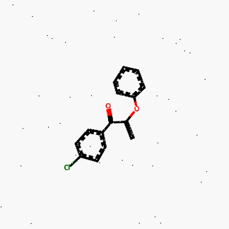 C=C(Oc1ccccc1)C(=O)c1ccc(Cl)cc1